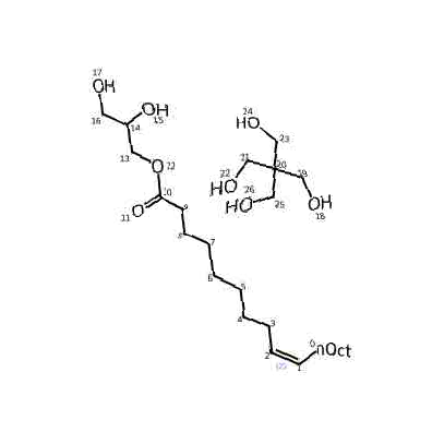 CCCCCCCC/C=C\CCCCCCCC(=O)OCC(O)CO.OCC(CO)(CO)CO